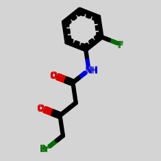 O=C(CBr)CC(=O)Nc1ccccc1F